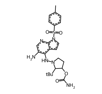 Cc1ccc(S(=O)(=O)n2ccc3c(NN4CCC(OC(N)=O)C4C(C)(C)C)c(N)cnc32)cc1